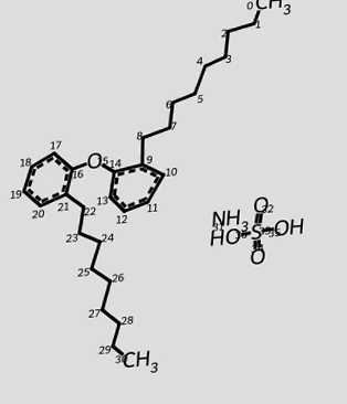 CCCCCCCCCc1ccccc1Oc1ccccc1CCCCCCCCC.N.O=S(=O)(O)O